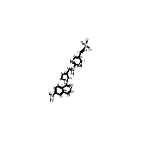 CNc1ccc2c(N3CCC(CNc4ncc(C#C[Si](C)(C)C)cn4)C3)nccc2c1